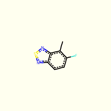 Cc1c(F)ccc2nsnc12